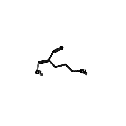 C/C=C(/C=O)CCCC